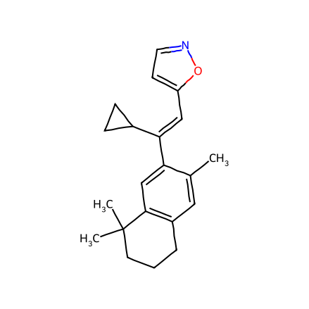 Cc1cc2c(cc1C(=Cc1ccno1)C1CC1)C(C)(C)CCC2